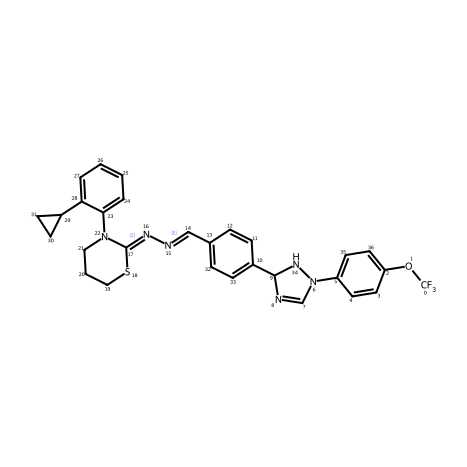 FC(F)(F)Oc1ccc(N2C=NC(c3ccc(/C=N/N=C4\SCCCN4c4ccccc4C4CC4)cc3)N2)cc1